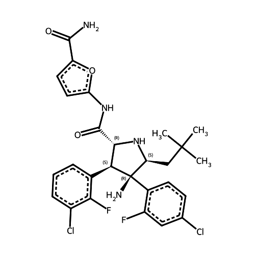 CC(C)(C)C[C@@H]1N[C@@H](C(=O)Nc2ccc(C(N)=O)o2)[C@H](c2cccc(Cl)c2F)[C@@]1(N)c1ccc(Cl)cc1F